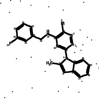 CCc1nnc(-n2c(C)cc3ccccc32)nc1NCc1cccc(F)c1